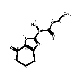 CCOC(=O)N(S)c1nc2c(s1)C(=O)CCC2